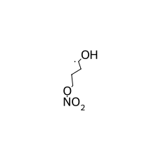 O=[N+]([O-])OCCC[CH]O